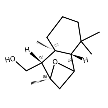 CC1(C)CCC[C@]2(C)[C@@H](CO)[C@]3(C)CC(O3)[C@@H]12